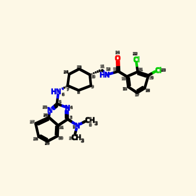 CN(C)c1nc(N[C@H]2CC[C@@H](CNC(=O)c3cccc(Cl)c3Cl)CC2)nc2ccccc12